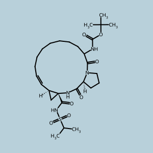 CC(C)S(=O)(=O)NC(=O)[C@@]12C[C@H]1/C=C\CCCCCCCC(NC(=O)OC(C)(C)C)C(=O)N1CCC[C@H]1C(=O)N2